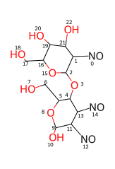 O=NC1C(OC2C(CO)OC(O)C(N=O)C2N=O)OC(CO)C(O)C1O